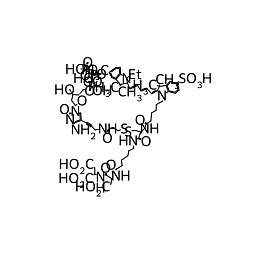 CCN1c2ccc(C)cc2C(C)(C)C1/C=C/C=C/C=C1/N(CCCCCC(=O)NC(CSSCCC(=O)NCC#Cc2cn([C@H]3C[C@@H](O)[C@@H](COP(=O)(O)OP(=O)(O)OP(=O)(O)O)O3)c(=O)nc2N)C(=O)NCCCCCC(=O)NC(CC(=O)O)C(=O)NC(CC(=O)O)C(=O)O)c2ccc(S(=O)(=O)O)cc2C1(C)C